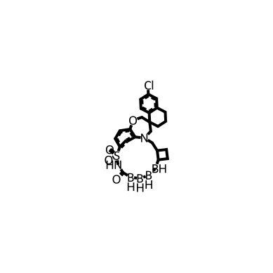 O=C1BBBBC2CCC2CN2CC3(CCCc4cc(Cl)ccc43)COc3ccc(cc32)S(=O)(=O)N1